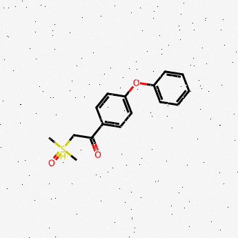 C[SH](C)(=O)CC(=O)c1ccc(Oc2ccccc2)cc1